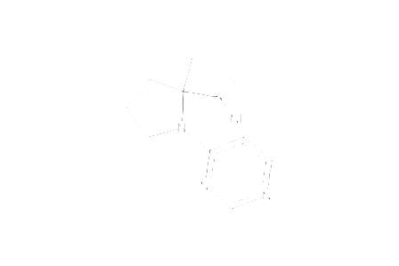 CC1(C(N)=O)CCCN1c1ccncn1